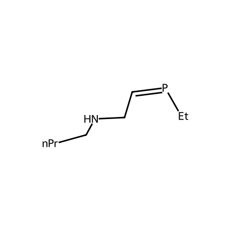 CCCCNC/C=P\CC